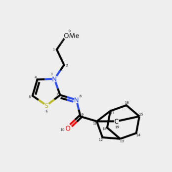 COCCn1ccsc1=NC(=O)C12CC3CC(CC1C3)C2